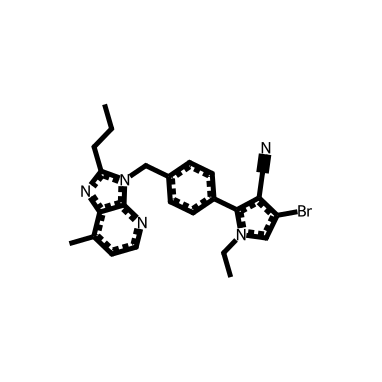 CCCc1nc2c(C)ccnc2n1Cc1ccc(-c2c(C#N)c(Br)cn2CC)cc1